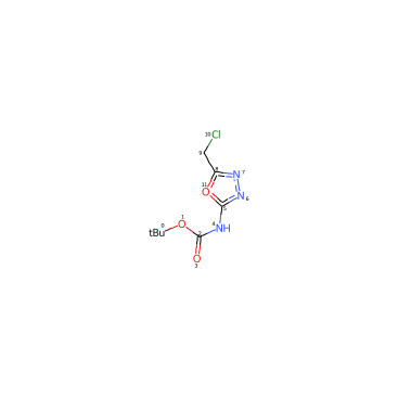 CC(C)(C)OC(=O)Nc1nnc(CCl)o1